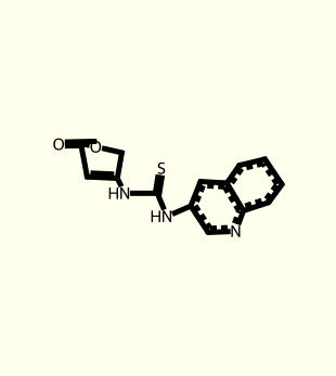 O=C1C=C(NC(=S)Nc2cnc3ccccc3c2)CO1